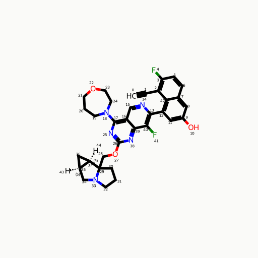 C#Cc1c(F)ccc2cc(O)cc(-c3ncc4c(N5CCCOCC5)nc(OCC56CCCN5C[C@H]5C[C@H]56)nc4c3F)c12